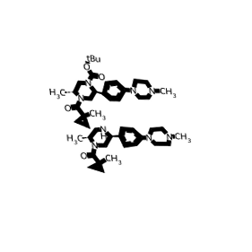 C[C@@H]1CN(C(=O)OC(C)(C)C)[C@@H](c2ccc(N3CCN(C)CC3)cc2)CN1C(=O)C1(C)CC1.C[C@@H]1CN[C@@H](c2ccc(N3CCN(C)CC3)cc2)CN1C(=O)C1(C)CC1